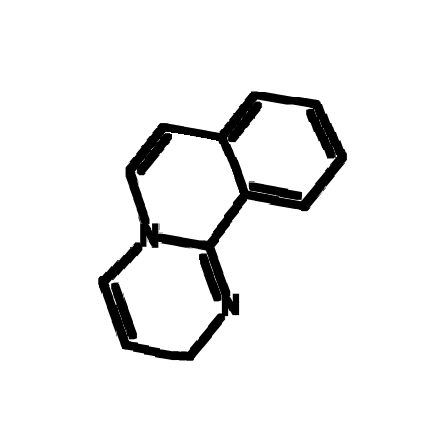 C1=CN2C=Cc3ccccc3C2=NC1